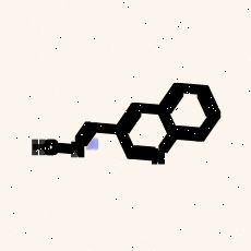 O/N=C/c1cnc2ccccc2c1